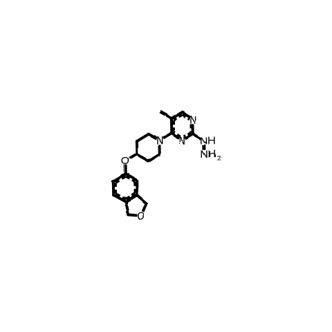 Cc1cnc(NN)nc1N1CCC(Oc2ccc3c(c2)COC3)CC1